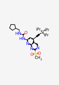 CC(C)[Si](C#Cc1cc(NC(=O)NCC2CCCC2)nc2nc(S(C)(=O)=O)ncc12)(C(C)C)C(C)C